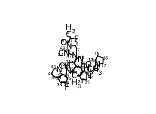 C=C(F)C(=O)N1CCN(c2nc(OC[C@@H]3CCCN3C)c(-c3c(C)ccnc3C)c3c2CCN(c2cc(F)cc4c2N(C)CCC4)C3)C[C@@H]1CC#N